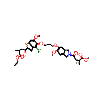 CCOC(=O)[C@@H](C)CC(=O)c1cc2c(F)c(OCCCOc3cc4c(cc3OC)CN(C(=O)C[C@H](C)C(=O)OC)C4)c(OC)cc2s1